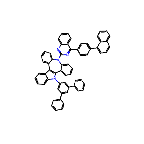 c1ccc(-c2cc(-c3ccccc3)cc(-n3c4c(c5ccccc53)-c3ccccc3N(c3nc(-c5ccc(-c6cccc7ccccc67)cc5)c5ccccc5n3)c3ccccc3-4)c2)cc1